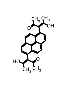 CC(=O)C(=C(C)O)c1ccc2ccc3c(C(C(C)=O)=C(C)O)ccc4ccc1c2c43